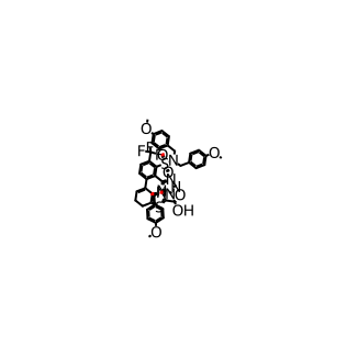 COc1ccc(CN(Cc2ccc(OC)cc2)S(=O)(=O)c2c(C(F)(F)F)ccc(C3=CCCc4sc(C(=O)O)nc43)c2-c2nnnn2Cc2ccc(OC)cc2)cc1